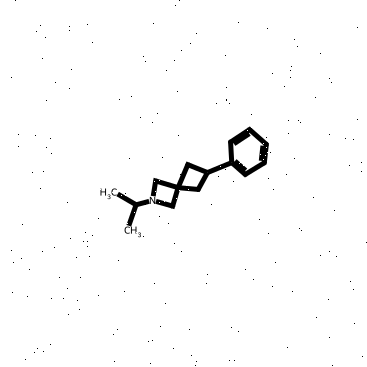 CC(C)N1CC2(CC(c3ccccc3)C2)C1